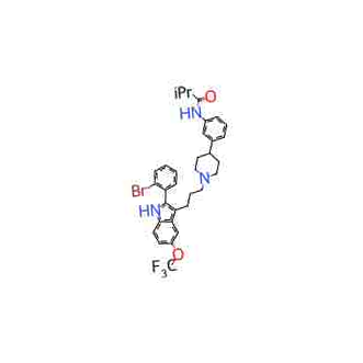 CC(C)C(=O)Nc1cccc(C2CCN(CCCc3c(-c4ccccc4Br)[nH]c4ccc(OC(F)(F)F)cc34)CC2)c1